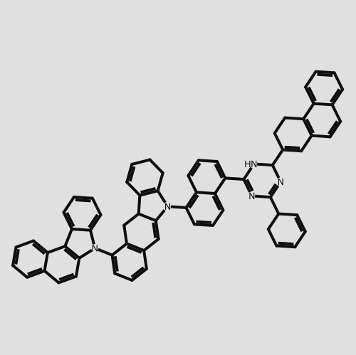 C1=CCC(C2=NC(C3=Cc4ccc5ccccc5c4CC3)NC(c3cccc4c(N5C6=Cc7cccc(-n8c9ccccc9c9c%10ccccc%10ccc98)c7CC6C6=C5CCC=C6)cccc34)=N2)C=C1